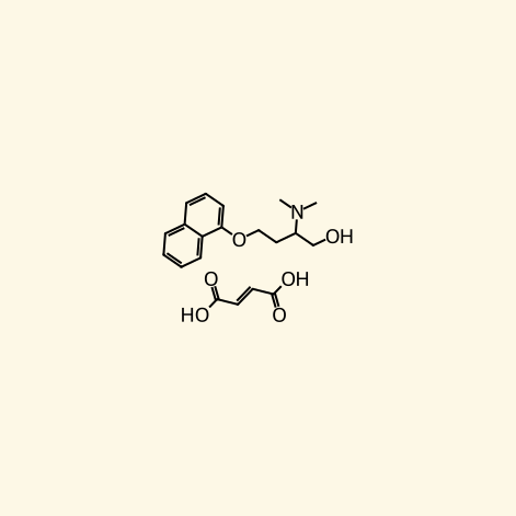 CN(C)C(CO)CCOc1cccc2ccccc12.O=C(O)C=CC(=O)O